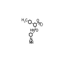 Cc1ccc(-c2cc(C(=O)NCc3cccc(-n4cnnc4)c3)cc(C(=O)N3CCCC3)c2)cc1